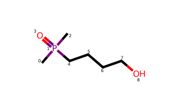 CP(C)(=O)CCCCO